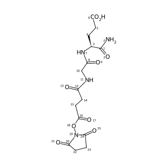 NC(=O)[C@H](CCC(=O)O)NC(=O)CNC(=O)CCC(=O)ON1C(=O)CCC1=O